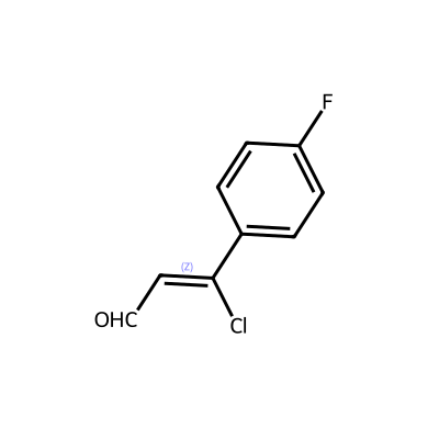 O=C/C=C(\Cl)c1ccc(F)cc1